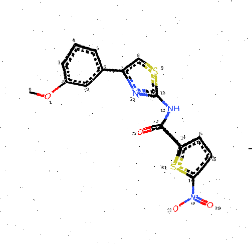 COc1cccc(-c2csc(NC(=O)c3ccc([N+](=O)[O-])s3)n2)c1